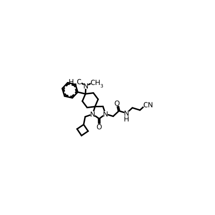 CN(C)C1(c2ccccc2)CCC2(CC1)CN(CC(=O)NCCC#N)C(=O)N2CC1CCC1